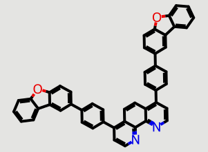 c1ccc2c(c1)oc1ccc(-c3ccc(-c4ccnc5c4ccc4c(-c6ccc(-c7ccc8oc9ccccc9c8c7)cc6)ccnc45)cc3)cc12